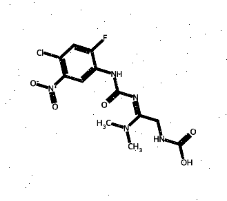 CN(C)/C(CNC(=O)O)=N\C(=O)Nc1cc([N+](=O)[O-])c(Cl)cc1F